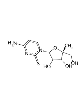 C[C@]1(CO)O[C@@H](n2ccc(N)nc2=S)C(O)[C@H]1O